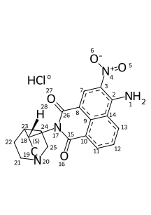 Cl.Nc1c([N+](=O)[O-])cc2c3c(cccc13)C(=O)N([C@@H]1CN3CCC1CC3)C2=O